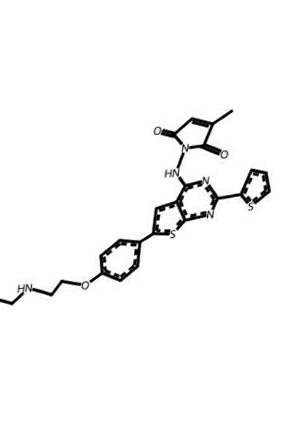 CC1=CC(=O)N(Nc2nc(-c3cccs3)nc3sc(-c4ccc(OCCNCCO)cc4)cc23)C1=O